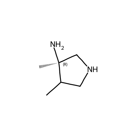 CC1CNC[C@]1(C)N